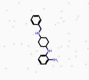 Nc1ccccc1NC1CCC(NCc2ccccc2)CC1